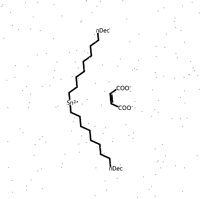 CCCCCCCCCCCCCCCCC[CH2][Sn+2][CH2]CCCCCCCCCCCCCCCCC.O=C([O-])/C=C\C(=O)[O-]